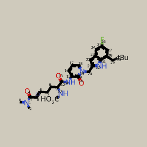 CN(C)C(=O)/C=C/CCC(NC(=O)O)C(=O)Nc1cccn(Cc2cc3cc(F)cc(CC(C)(C)C)c3[nH]2)c1=O